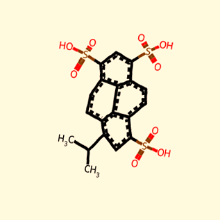 CC(C)c1cc(S(=O)(=O)O)c2ccc3c(S(=O)(=O)O)cc(S(=O)(=O)O)c4ccc1c2c43